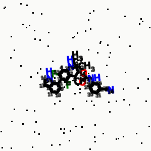 C[C@H]1c2c(cc(F)c(-c3cccc4cc[nH]c34)c2F)NC(C)(C)[C@@H]1OC(=O)Nc1cccc(C#N)c1